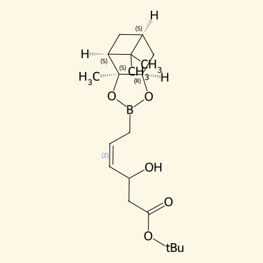 CC(C)(C)OC(=O)CC(O)/C=C\CB1O[C@@H]2C[C@@H]3C[C@@H](C3(C)C)[C@]2(C)O1